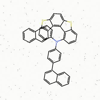 c1ccc(N(c2ccc(-c3cccc4ccccc34)cc2)c2cccc3sc4ccc5sc6c7ccccc7ccc6c5c4c23)cc1